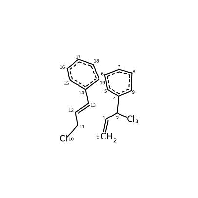 C=CC(Cl)c1ccccc1.ClCC=Cc1ccccc1